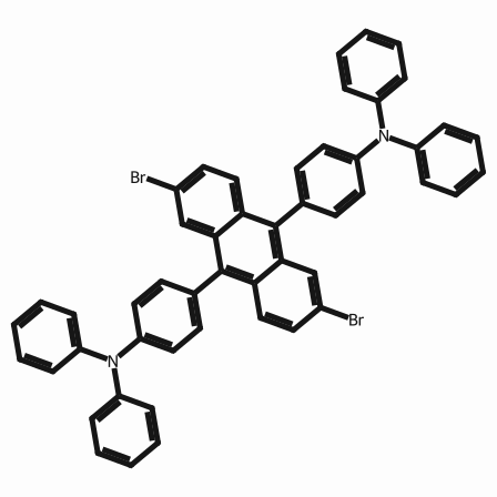 Brc1ccc2c(-c3ccc(N(c4ccccc4)c4ccccc4)cc3)c3cc(Br)ccc3c(-c3ccc(N(c4ccccc4)c4ccccc4)cc3)c2c1